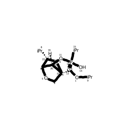 CC(C)OC[C@@]12COC([C@H](C(C)C)O1)[C@H]2OP(=O)(O)C(C)C